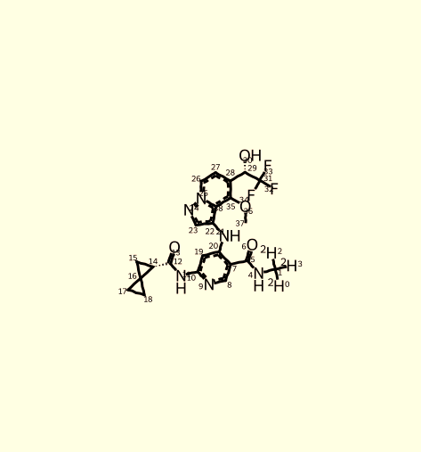 [2H]C([2H])([2H])NC(=O)c1cnc(NC(=O)[C@H]2CC23CC3)cc1Nc1cnn2ccc([C@H](O)C(F)(F)F)c(OC)c12